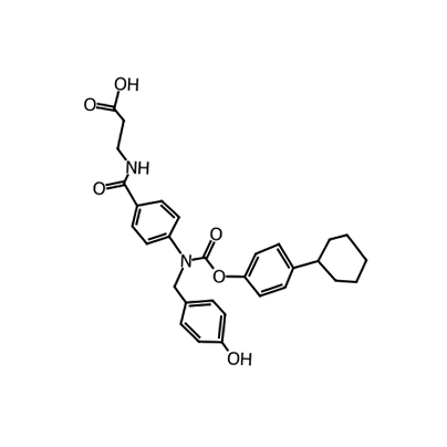 O=C(O)CCNC(=O)c1ccc(N(Cc2ccc(O)cc2)C(=O)Oc2ccc(C3CCCCC3)cc2)cc1